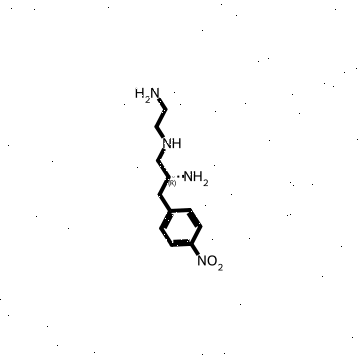 NCCNC[C@H](N)Cc1ccc([N+](=O)[O-])cc1